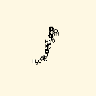 CCOC(=O)COc1ccc(-c2ncc(CNC(=O)c3ccc4c(c3)NC(=O)c3ccccc3S4)s2)cc1